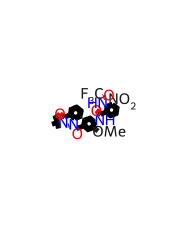 COc1cc(C(=O)N(C)c2ccccc2C2=NC(C)(C)CO2)ccc1NC(=O)c1cccc([N+](=O)[O-])c1NC(=O)C(F)(F)F